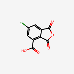 O=C(O)c1cc(Cl)cc2c1C(=O)OC2=O